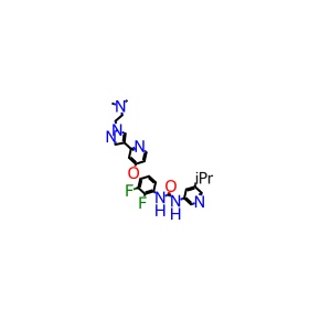 CC(C)c1cncc(NC(=O)Nc2ccc(Oc3ccnc(-c4cnn(CCN(C)C)c4)c3)c(F)c2F)c1